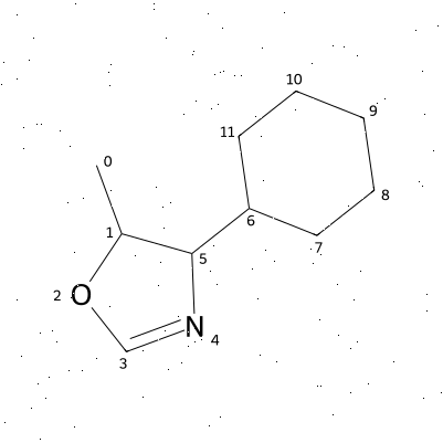 CC1OC=NC1C1CCCCC1